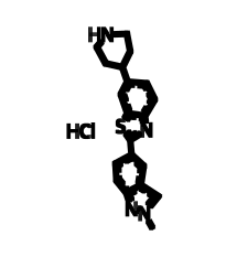 Cl.Cn1cc2cc(-c3nc4ccc(C5CCNCC5)cc4s3)ccc2n1